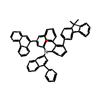 CC1(C)c2ccccc2-c2cc(-c3cccc(N(c4cccc(-c5cc6ccccc6c6ccccc56)c4)c4cc(-c5ccccc5)c5ccccc5c4)c3-c3ccccc3)ccc21